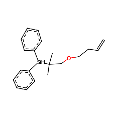 C=CCCOCC(C)(C)[SiH](c1ccccc1)c1ccccc1